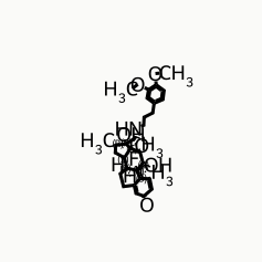 COc1ccc(CCCNC(=O)[C@@]2(O)[C@H](C)C[C@H]3[C@@H]4CCC5=CC(=O)C=C[C@]5(C)[C@@]4(F)[C@@H](O)C[C@@]32C)cc1OC